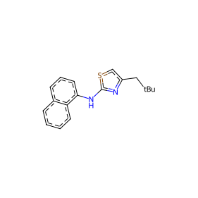 CC(C)(C)Cc1csc(Nc2cccc3ccccc23)n1